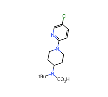 CC(C)(C)N(C(=O)O)C1CCN(c2ccc(Cl)cn2)CC1